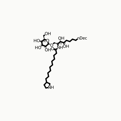 CCCCCCCCCCCCCC[C@@H](O)[C@@H](O)[C@H](CO[C@H]1O[C@H](CO)[C@H](O)[C@H](O)[C@H]1O)NC(=O)CCCCCCCCCCC1CCNC1